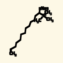 C=CCCCCCCCCCCC(CCCCCCCCC)[N+](C)(C)C